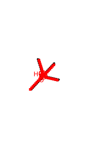 CCCCCCCCCCCCCCCC(=O)OC[C@H]1O[C@@H](O)[C@@H](OC(=O)CCCCCCCCCCCCCCC)[C@@H](OC(=O)CCCCCCCCCCCCCCC)[C@@H]1OC(=O)CCCCCCCCCCCCCCC